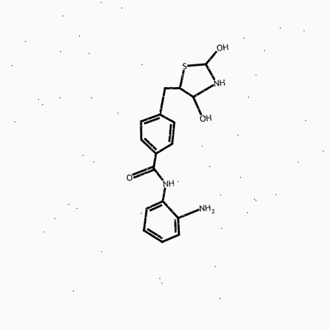 Nc1ccccc1NC(=O)c1ccc(CC2SC(O)NC2O)cc1